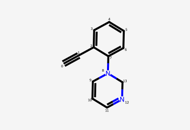 C#Cc1ccccc1N1C=CC=NC1